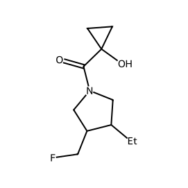 CCC1CN(C(=O)C2(O)CC2)CC1CF